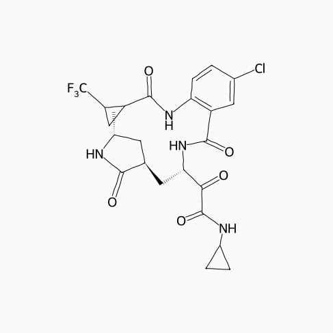 C[C@@H]1C[C@@H](C[C@H](NC(=O)c2cc(Cl)ccc2NC(=O)C2CC2C(F)(F)F)C(=O)C(=O)NC2CC2)C(=O)N1